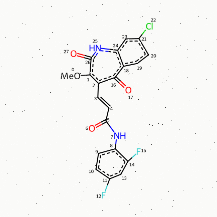 COc1c(C=CC(=O)Nc2ccc(F)cc2F)c(=O)c2ccc(Cl)cc2[nH]c1=O